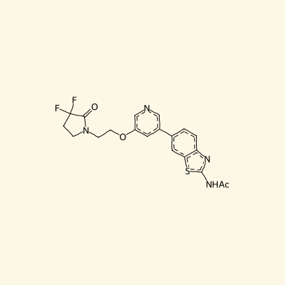 CC(=O)Nc1nc2ccc(-c3cncc(OCCN4CCC(F)(F)C4=O)c3)cc2s1